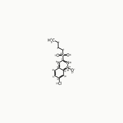 CCCCS(=O)(=O)c1nc2ccc(Cl)cc2[n+]([O-])n1